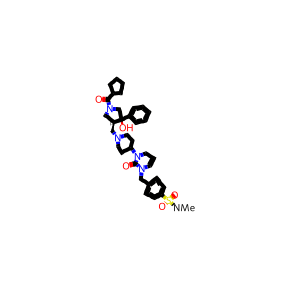 CNS(=O)(=O)c1ccc(CN2C=CCN(C3CCN(C[C@H]4CN(C(=O)C5CCCC5)C[C@]4(O)c4ccccc4)CC3)C2=O)cc1